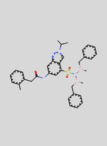 CB(Cc1ccccc1)N(B(C)Cc1ccccc1)S(=O)(=O)c1cc(NC(=O)Cc2ccccc2C)cc2nn(C(C)C(C)C)cc12